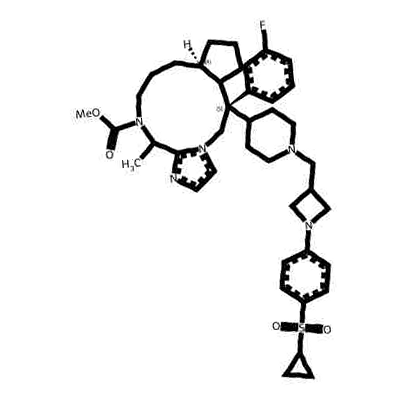 COC(=O)N1CCC[C@H]2CCCC2[C@](c2cccc(F)c2)(C2CCN(CC3CN(c4ccc(S(=O)(=O)C5CC5)cc4)C3)CC2)Cn2ccnc2C1C